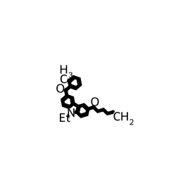 C=CCCCC(=O)c1ccc2c(c1)c1cc(C(=O)c3ccccc3C)ccc1n2CC